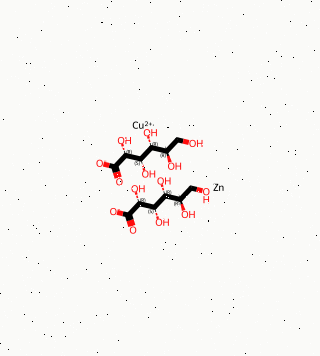 O=C([O-])[C@H](O)[C@@H](O)[C@H](O)[C@H](O)CO.O=C([O-])[C@H](O)[C@@H](O)[C@H](O)[C@H](O)CO.[Cu+2].[Zn]